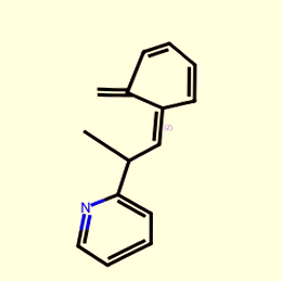 C=c1cccc/c1=C/C(C)c1ccccn1